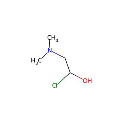 CN(C)CC(O)Cl